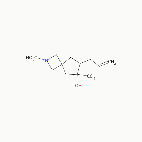 C=CCC1CC2(CN(C(=O)O)C2)CC1(O)C(Cl)(Cl)Cl